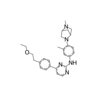 CCOCCc1ccc(-c2ccnc(Nc3ccc(N4CC5CC4CN5C)c(C)c3)n2)cc1